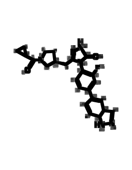 O=C(C1CC1)N1CC[C@@H](Cc2n[nH]c(=O)n2-c2ccc(C3=CC4C=NNC4C=C3)cc2F)C1